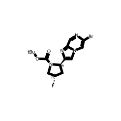 CC(C)(C)OC(=O)N1C[C@@H](F)C[C@@H]1c1cn2cc(Br)ncc2n1